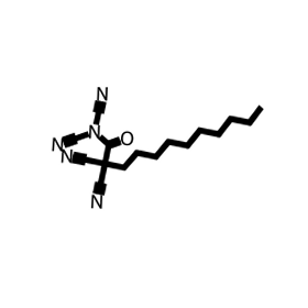 CCCCCCCCCCC(C#N)(C#N)C(=O)N(C#N)C#N